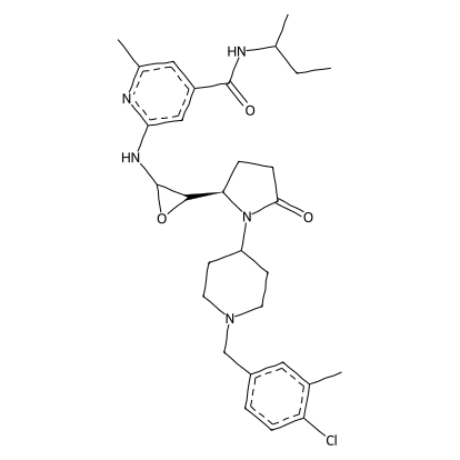 CCC(C)NC(=O)c1cc(C)nc(NC2OC2[C@H]2CCC(=O)N2C2CCN(Cc3ccc(Cl)c(C)c3)CC2)c1